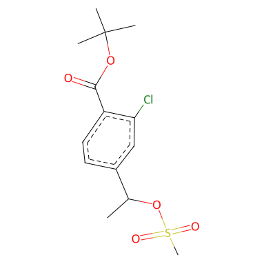 CC(OS(C)(=O)=O)c1ccc(C(=O)OC(C)(C)C)c(Cl)c1